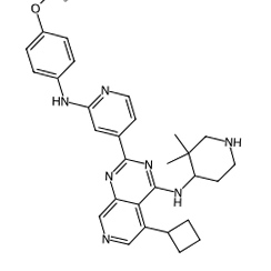 CC1(C)CNCCC1Nc1nc(-c2ccnc(Nc3ccc(OC(F)(F)F)cc3)c2)nc2cncc(C3CCC3)c12